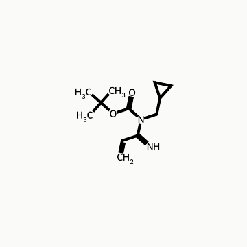 C=CC(=N)N(CC1CC1)C(=O)OC(C)(C)C